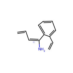 C=C/C=C(/N)c1ccccc1C=C